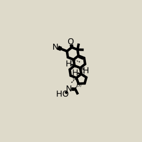 CC(=NO)[C@H]1CC[C@H]2[C@@H]3CC=C4C(C)(C)C(=O)C(C#N)C[C@]4(C)[C@H]3CC[C@]12C